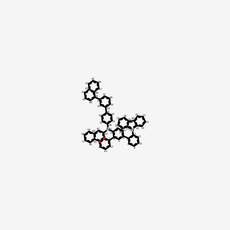 c1ccc(-c2cc(-c3ccccc3-n3c4ccccc4c4ccccc43)ccc2N(c2ccc(-c3cccc(-c4cccc5ccccc45)c3)cc2)c2ccc3ccccc3c2)cc1